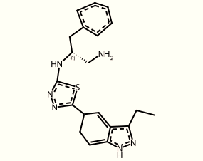 CCc1n[nH]c2c1=CC(c1nnc(N[C@@H](CN)Cc3ccccc3)s1)CC=2